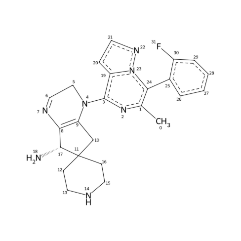 Cc1nc(N2CC=NC3=C2CC2(CCNCC2)[C@@H]3N)c2ccnn2c1-c1ccccc1F